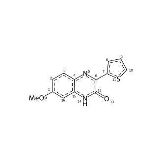 COc1ccc2nc(-c3cccs3)c(=O)[nH]c2c1